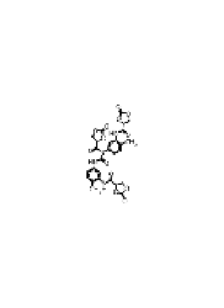 Cc1ccc(NC(=O)N(C(=O)C2COC(=O)O2)c2ccc(C)c(NC(=O)C3COC(=O)O3)c2)cc1NC(=O)C1COC(=O)O1